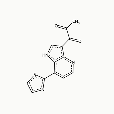 CC(=O)C(=O)c1c[nH]c2c(-c3nccs3)ccnc12